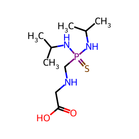 CC(C)NP(=S)(CNCC(=O)O)NC(C)C